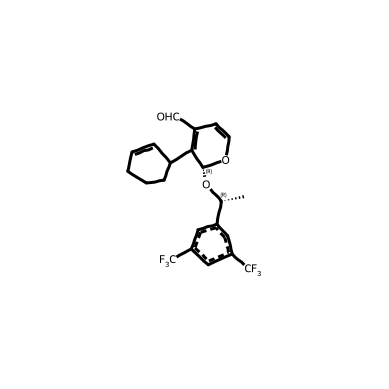 C[C@@H](O[C@H]1OC=CC(C=O)=C1C1C=CCCC1)c1cc(C(F)(F)F)cc(C(F)(F)F)c1